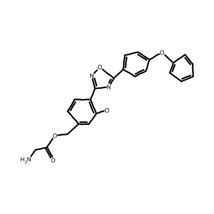 NCC(=O)OCc1ccc(-c2noc(-c3ccc(Oc4ccccc4)cc3)n2)c(Cl)c1